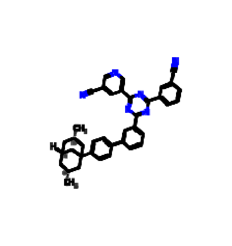 C[C@@H]1C[C@@H]2C[C@H](C)CC(c3ccc(-c4cccc(-c5nc(-c6cccc(C#N)c6)nc(-c6cncc(C#N)c6)n5)c4)cc3)(C1)C2